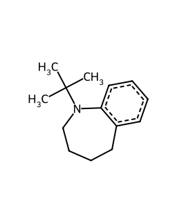 CC(C)(C)N1CCCCc2ccccc21